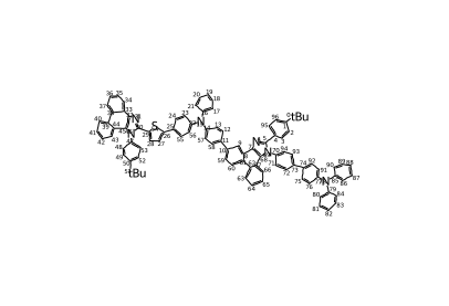 CC(C)(C)c1ccc(-c2nc3c4cc(-c5ccc(N(c6ccccc6)c6ccc(-c7ccc(-c8nc9c%10ccccc%10c%10ccccc%10c9n8-c8ccc(C(C)(C)C)cc8)s7)cc6)cc5)ccc4c4ccccc4c3n2-c2ccc(-c3ccc(N(c4ccccc4)c4ccccc4)cc3)cc2)cc1